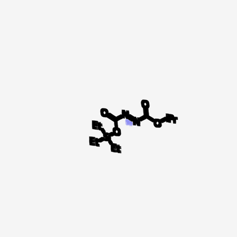 CC[Si](CC)(CC)OC(=O)/N=N/C(=O)OC(C)C